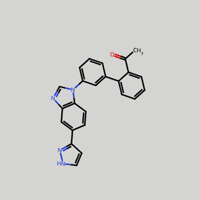 CC(=O)c1ccccc1-c1cccc(-n2cnc3cc(-c4cc[nH]n4)ccc32)c1